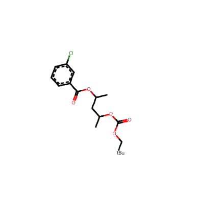 CC(CC(C)OC(=O)c1cccc(Cl)c1)OC(=O)OCC(C)(C)C